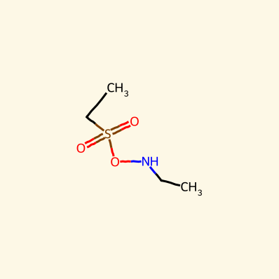 CCNOS(=O)(=O)CC